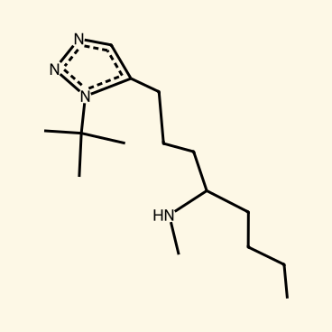 CCCCC(CCCc1cnnn1C(C)(C)C)NC